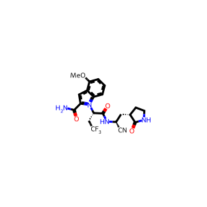 COc1cccc2c1cc(C(N)=O)n2[C@@H](CC(F)(F)F)C(=O)N[C@H](C#N)C[C@@H]1CCNC1=O